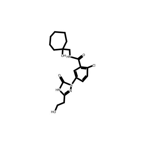 O=C(NCC1(O)CCCCCC1)c1cc(-n2nc(CCO)[nH]c2=O)ccc1Cl